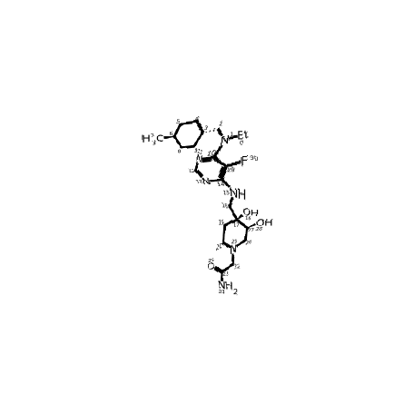 CCN(C[C@H]1CC[C@H](C)CC1)c1ncnc(NC[C@@]2(O)CCN(CC(N)=O)C[C@@H]2O)c1F